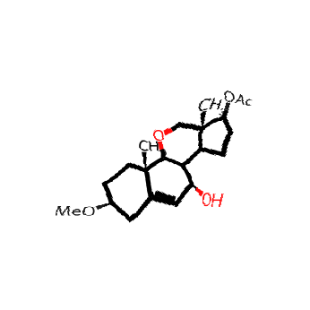 CO[C@H]1CC[C@@]2(C)C(=C[C@H](O)C3C4CCC(OC(C)=O)[C@@]4(C)COC32)C1